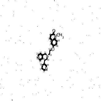 Cn1c(=O)ccc2cc(OCCN(CCc3cccnc3)Cc3ccncc3)ccc21